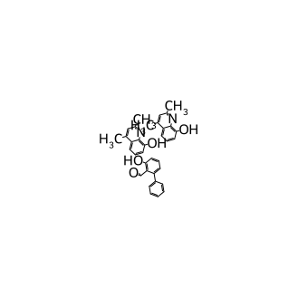 Cc1cc(C)c2cccc(O)c2n1.Cc1cc(C)c2cccc(O)c2n1.O=Cc1c(O)cccc1-c1ccccc1